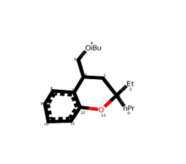 CCCC1(CC)CC(COCC(C)C)c2ccccc2O1